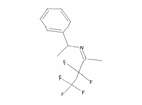 CC(=NC(C)c1ccccc1)C(F)(F)C(F)(F)F